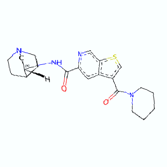 O=C(N[C@H]1CN2CCC1CC2)c1cc2c(C(=O)N3CCCCC3)csc2cn1